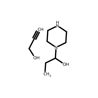 C#CCO.CCC(O)N1CCNCC1